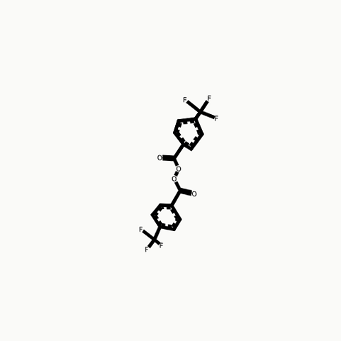 O=C(OOC(=O)c1ccc(C(F)(F)F)cc1)c1ccc(C(F)(F)F)cc1